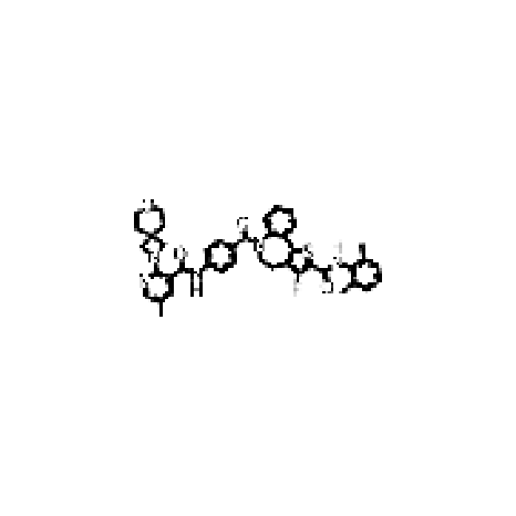 Cc1cnc(N2CC3(CCOCC3)C2)c(C(=O)Nc2ccc(C(=O)N3CCc4c(sc(C(=O)Nc5c(C)cccc5C)c4F)-c4ccccc43)cc2)c1